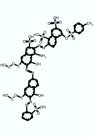 Cc1ccc(S(=O)(=O)Oc2cc(S(=O)(=O)O)cc3c(S(=O)(=O)O)c(N=Nc4c(S(=O)(=O)O)cc5cc(SOOO)c(N=Nc6ccc7c(O)c(N=Nc8ccccc8S(=O)(=O)O)c(SOOO)cc7c6)c(O)c5c4N)ccc23)cc1